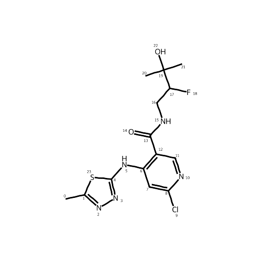 Cc1nnc(Nc2cc(Cl)ncc2C(=O)NCC(F)C(C)(C)O)s1